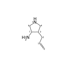 C=CCC1CNCC1N